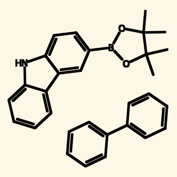 CC1(C)OB(c2ccc3[nH]c4ccccc4c3c2)OC1(C)C.c1ccc(-c2ccccc2)cc1